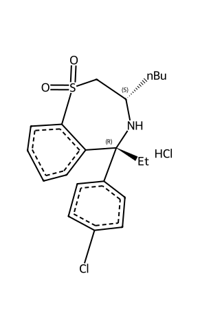 CCCC[C@H]1CS(=O)(=O)c2ccccc2[C@@](CC)(c2ccc(Cl)cc2)N1.Cl